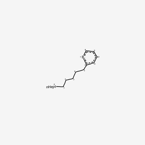 CCCCCCCCCCCCc1bcccc1